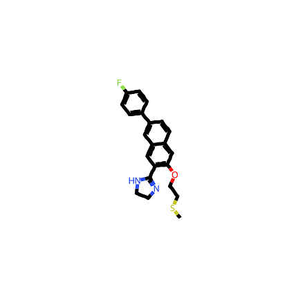 CSCCOc1cc2ccc(-c3ccc(F)cc3)cc2cc1C1=NCCN1